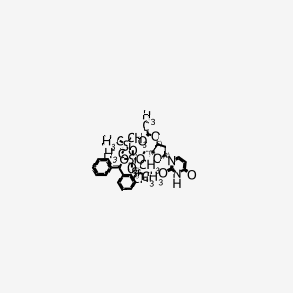 CC(=O)O[C@H]1C[C@H](n2ccc(=O)[nH]c2=O)O[C@@H]1CO[Si](OC(c1ccccc1)c1ccccc1)(O[Si](C)(C)C)O[Si](C)(C)C